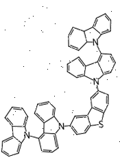 C1=CC2c3ccccc3N(c3cccc4c3c3ccccc3n4-c3ccc4sc5ccc(-n6c7ccccc7c7c(-n8c9ccccc9c9ccccc98)cccc76)cc5c4c3)C2C=C1